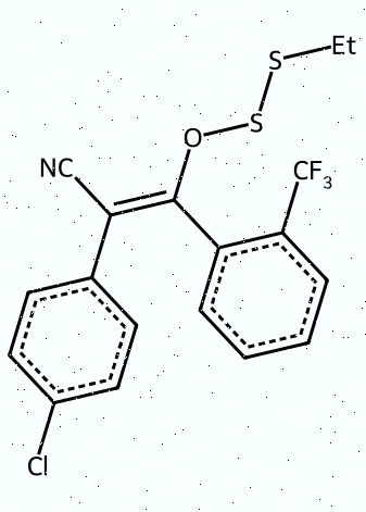 CCSSO/C(=C(\C#N)c1ccc(Cl)cc1)c1ccccc1C(F)(F)F